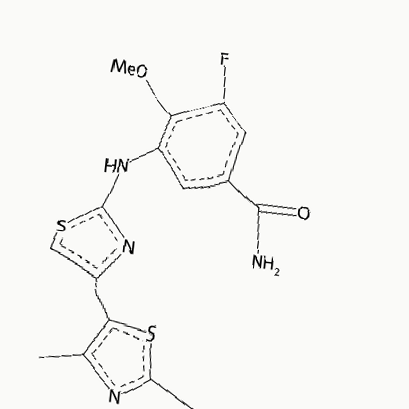 COc1c(F)cc(C(N)=O)cc1Nc1nc(-c2sc(C)nc2C)cs1